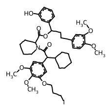 COc1ccc(CCC(OC(=O)C2CCCCN2C(=O)C(c2cc(OC)c(OC)c(OCCCI)c2)C2CCCCC2)c2cccc(O)c2)cc1OC